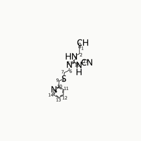 C#CCN/C(=N/CCSCc1ccccn1)NC#N